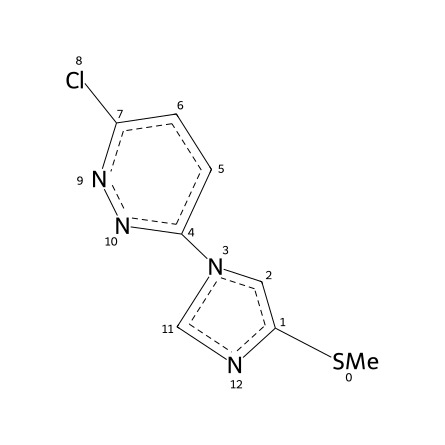 CSc1cn(-c2ccc(Cl)nn2)cn1